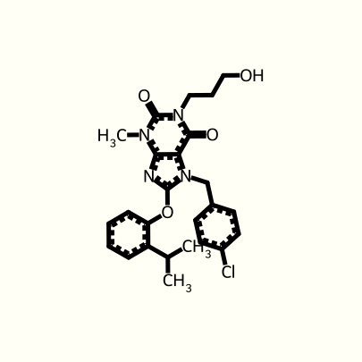 CC(C)c1ccccc1Oc1nc2c(c(=O)n(CCCO)c(=O)n2C)n1Cc1ccc(Cl)cc1